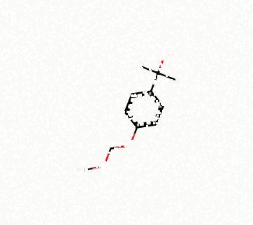 CCOCOc1ccc(C(C)(C)O)cc1